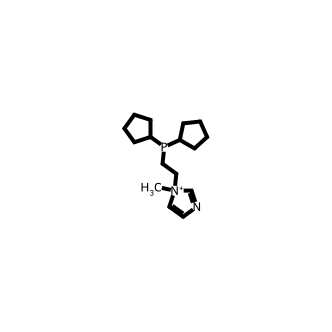 C[N+]1(CCP(C2CCCC2)C2CCCC2)C=CN=C1